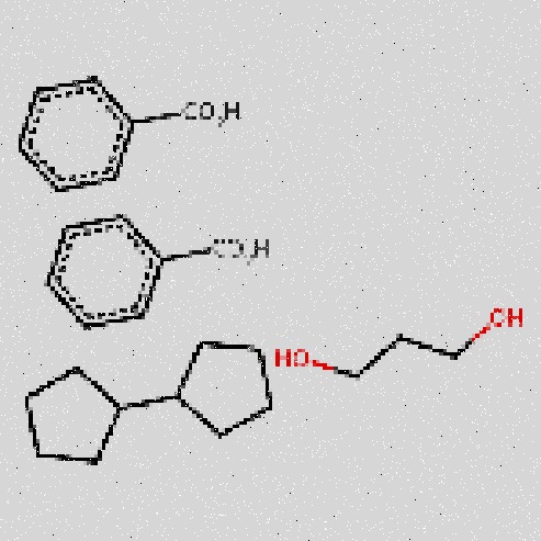 C1CCC(C2CCCC2)C1.O=C(O)c1ccccc1.O=C(O)c1ccccc1.OCCCO